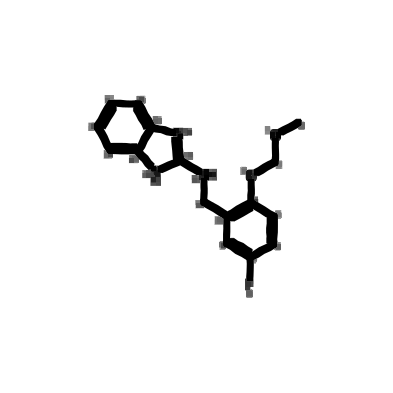 COCOc1ccc(F)cc1CNc1nc2ccccc2[nH]1